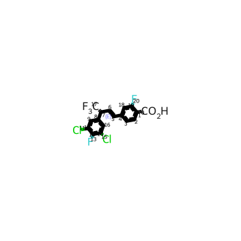 O=C(O)c1ccc(/C=C/C(c2cc(Cl)c(F)c(Cl)c2)C(F)(F)F)cc1F